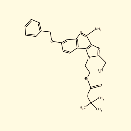 CC(C)(C)OC(=O)NCCn1c(CN)nc2c(N)nc3cc(OCc4ccccc4)ccc3c21